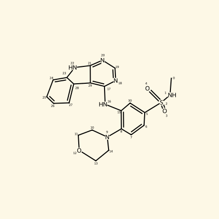 CNS(=O)(=O)c1ccc(N2CCOCC2)c(Nc2ncnc3[nH]c4ccccc4c23)c1